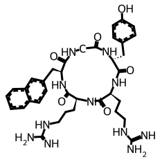 N=C(N)NCCC[C@@H]1NC(=O)[C@H](CCCNC(=N)N)NC(=O)[C@@H](Cc2ccc(O)cc2)NC(=O)CNC(=O)[C@H](Cc2ccc3ccccc3c2)NC1=O